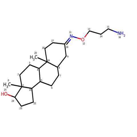 CC12CCC3C(CCC4CC(=NOCCCN)CCC43C)C1CCC2O